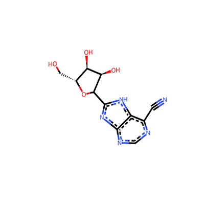 N#Cc1ncnc2nc(C3O[C@H](CO)[C@@H](O)[C@H]3O)[nH]c12